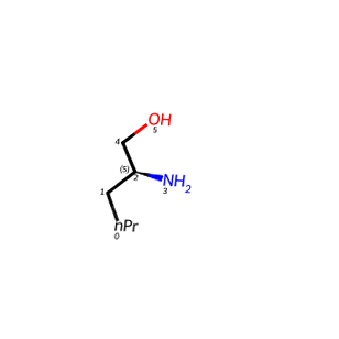 [CH2]CCC[C@H](N)CO